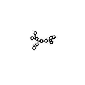 C1=CC2Sc3cc(N(c4ccc(-c5ccc(-n6c7ccccc7c7c8ccccc8ccc76)cc5)cc4)c4ccc5c(c4)c4ccccc4n5-c4ccccc4)ccc3C2C=C1